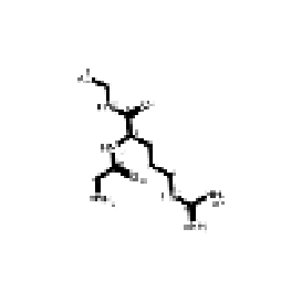 CC(=O)CNC(=O)C(CCCNC(=N)N)NC(=O)CN